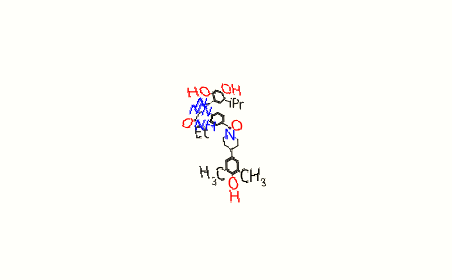 CCNC(=O)c1nnc(-c2cc(C(C)C)c(O)cc2O)n1-c1ccc(C(=O)N2CCC(c3cc(C)c(O)c(C)c3)CC2)cc1